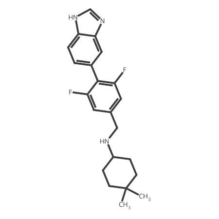 CC1(C)CCC(NCc2cc(F)c(-c3ccc4[nH]cnc4c3)c(F)c2)CC1